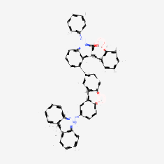 c1ccc(-n2c3cccc(-c4ccc5oc6ccc(-n7c8ccccc8c8ccccc87)cc6c5c4)c3c3c4ccccc4oc32)cc1